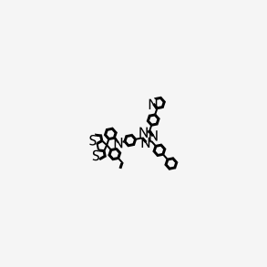 C=Cc1ccc2c(c1)N(c1ccc(-c3nc(-c4ccc(-c5ccccc5)cc4)nc(-c4ccc(-c5ccccn5)cc4)n3)cc1)c1ccccc1C21c2ccsc2-c2sccc21